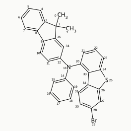 CC1(C)c2ccccc2-c2ccc(N(c3ccccc3)c3cccc4sc5cc(Br)ccc5c34)cc21